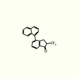 O=C1c2cccc(-c3cccc4ccccc34)c2CC1C(F)(F)F